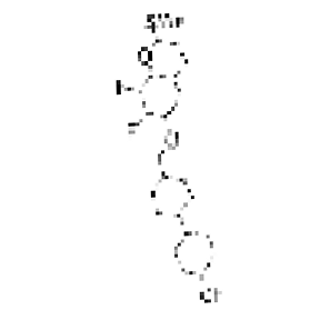 CSC1CCC2CC(OCC3CCC(C4CCC(O)CC4)CC3)C(F)C(F)C2O1